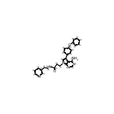 Nc1ncnc2c1c(-c1ccc(Oc3ccccc3)cc1)cn2CCC(=O)NCCc1cccnc1